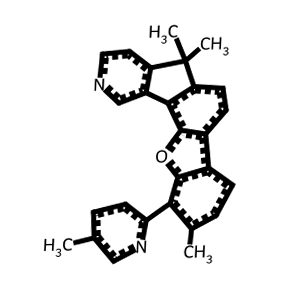 Cc1ccc(-c2c(C)ccc3c2oc2c4c(ccc23)C(C)(C)c2ccncc2-4)nc1